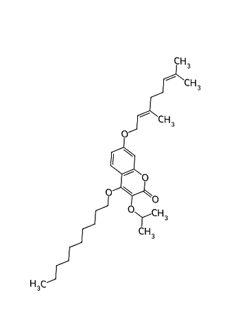 CCCCCCCCCCOc1c(OC(C)C)c(=O)oc2cc(OC/C=C(\C)CCC=C(C)C)ccc12